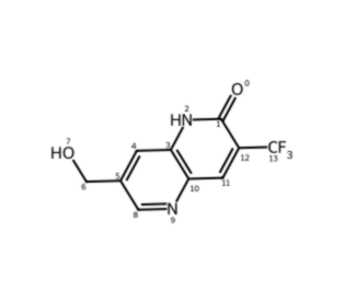 O=c1[nH]c2cc(CO)cnc2cc1C(F)(F)F